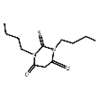 CCCCN1C(=O)CC(=O)N(CCCC)C1=S